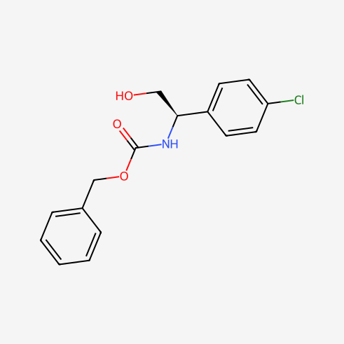 O=C(N[C@@H](CO)c1ccc(Cl)cc1)OCc1ccccc1